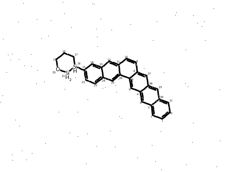 c1ccc2cc3cc4c(ccc5cc6cc([SiH]7CCCO[SiH2]7)ccc6cc54)cc3cc2c1